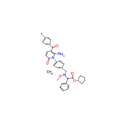 C.CON(Cc1ccc(-n2c(N)c(C(=O)c3ccc(F)cc3)ccc2=O)cc1)C(C(=O)OC1CCCC1)c1ccccc1